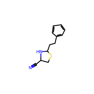 N#CC1CSC(CCc2ccccc2)N1